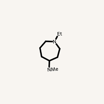 CCN1CCCC(NC)CC1